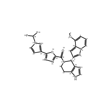 COc1cccn2nc([C@@H]3c4nc[nH]c4CCN3C(=O)c3nnc(-c4ccn(C(F)F)n4)o3)cc12